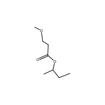 CCC(C)OC(=O)CCOC